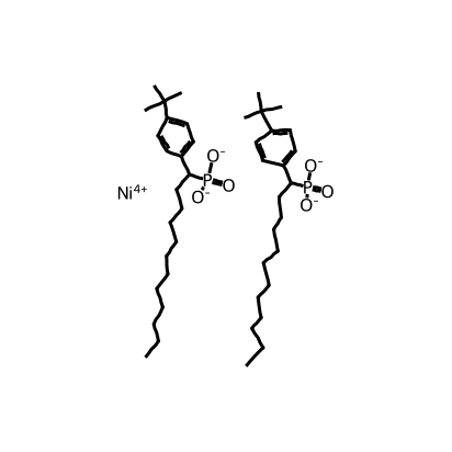 CCCCCCCCCCCC(c1ccc(C(C)(C)C)cc1)P(=O)([O-])[O-].CCCCCCCCCCCC(c1ccc(C(C)(C)C)cc1)P(=O)([O-])[O-].[Ni+4]